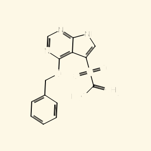 C=C(C)S(=O)(=O)c1c[nH]c2ncnc(OCc3ccccc3)c12